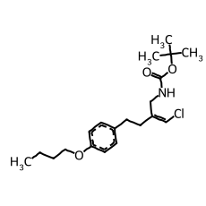 CCCCOc1ccc(CC/C(=C/Cl)CNC(=O)OC(C)(C)C)cc1